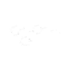 CCOC(=O)CCc1ccc(OCc2cc(F)ccc2-c2ccc(F)nc2)cc1